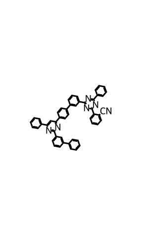 N#Cc1ccccc1-c1nc(-c2ccccc2)nc(-c2cccc(-c3ccc(-c4cc(-c5ccccc5)nc(-c5cccc(-c6ccccc6)c5)n4)cc3)c2)n1